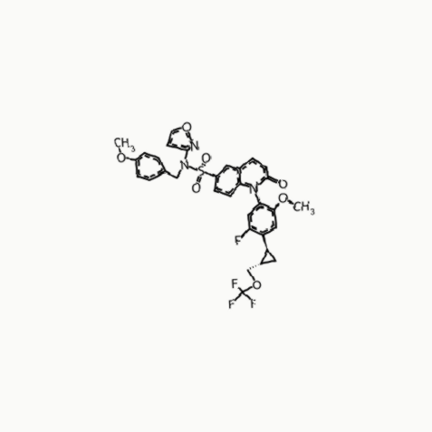 COc1ccc(CN(c2ccon2)S(=O)(=O)c2ccc3c(ccc(=O)n3-c3cc(F)c([C@H]4C[C@@H]4COC(F)(F)F)cc3OC)c2)cc1